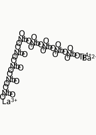 [Ba+2].[La+3].[O]=[Nb](=[O])[O-].[O]=[Nb](=[O])[O-].[O]=[Nb](=[O])[O-].[O]=[Nb](=[O])[O-].[O]=[Nb](=[O])[O-].[O]=[Nb](=[O])[O-].[O]=[Nb](=[O])[O-].[O]=[Nb](=[O])[O-].[O]=[Nb](=[O])[O-].[Ti+4]